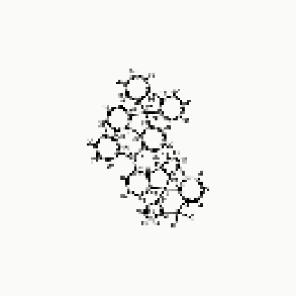 CC1(C)c2ccccc2C2(c3ccccc3-c3c(N(c4ccccc4)c4cccc5c4-c4ccccc4C54c5ccccc5-c5ccccc54)cccc32)c2ccccc21